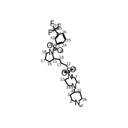 CN1CCC(N2CCN(S(=O)(=O)CCCC3CCCN3S(=O)(=O)c3cccc(C(F)(F)F)c3)CC2)CC1